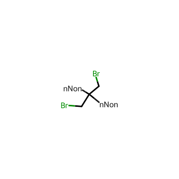 CCCCCCCCCC(CBr)(CBr)CCCCCCCCC